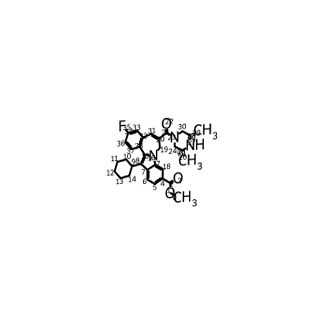 COC(=O)c1ccc2c(C3CCCCC3)c3n(c2c1)CC(C(=O)N1C[C@@H](C)N[C@@H](C)C1)=Cc1cc(F)ccc1-3